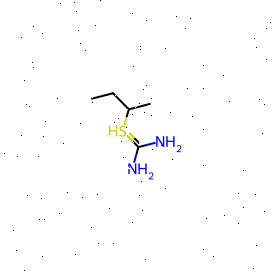 CCC(C)[SH]=C(N)N